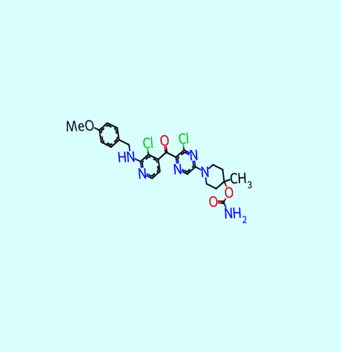 COc1ccc(CNc2nccc(C(=O)c3ncc(N4CCC(C)(OC(N)=O)CC4)nc3Cl)c2Cl)cc1